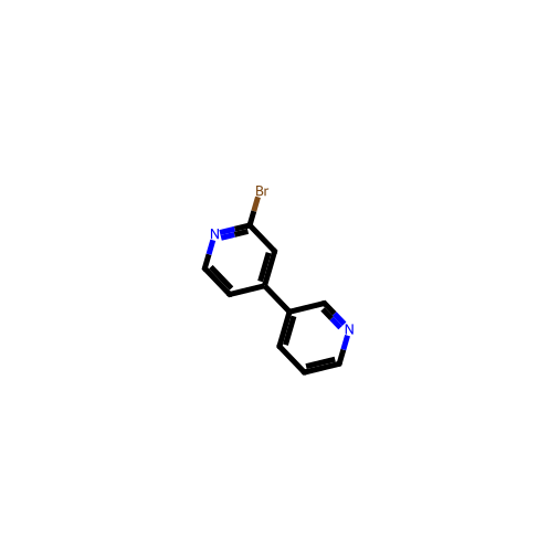 Brc1cc(-c2cccnc2)ccn1